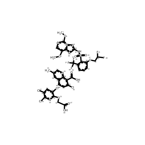 COc1cnc(OC)n2nc(NS(=O)(=O)c3c(OCC(F)F)cccc3C(F)(F)F)nc12.Cc1cnc2c(C(=O)O)c(Cl)ccc2c1.O=C(O)COc1nc(Cl)c(Cl)cc1Cl